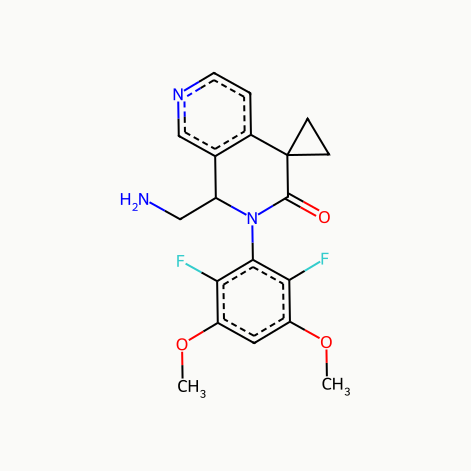 COc1cc(OC)c(F)c(N2C(=O)C3(CC3)c3ccncc3C2CN)c1F